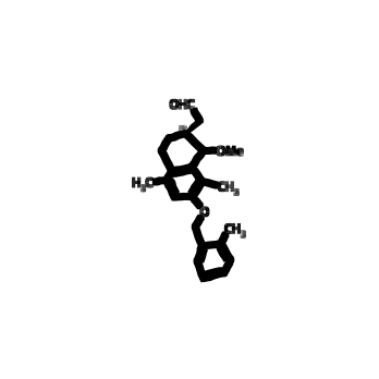 COC1c2c(C)c(OCc3ccccc3C)cc(C)c2CC[C@H]1CC=O